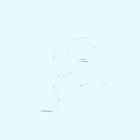 COc1cc(OC)c(-c2cc(F)ccc2C#N)c(OC)c1